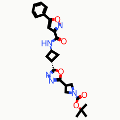 CC(C)(C)OC(=O)N1CC(c2nnc([C@H]3C[C@H](NC(=O)c4cc(-c5ccccc5)on4)C3)o2)C1